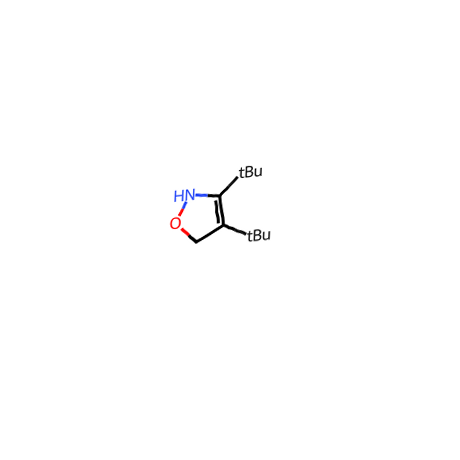 CC(C)(C)C1=C(C(C)(C)C)NOC1